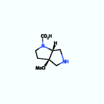 CO[C@@]12CCN(C(=O)O)[C@@H]1CNC2